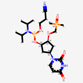 CC(C)N(C(C)C)P(OCCC#N)O[C@@H]1C[C@H](n2ccc(=O)[nH]c2=O)C[C@@H]1OCP(C)(C)=O